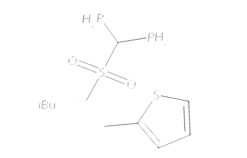 CC[C@@H](C)[C@@H](Cc1cccs1)S(=O)(=O)C(P)P